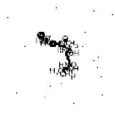 CC(=O)N1CC(c2ccc(NC(=O)Nc3ccccc3)cc2)CC1C(=O)NC(CC=CCC(NC(=O)CC(C)(C)C)C(=O)O)C(=O)O